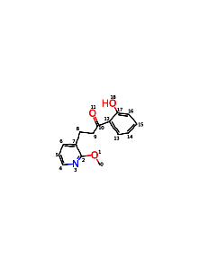 COc1ncccc1CCC(=O)c1ccccc1O